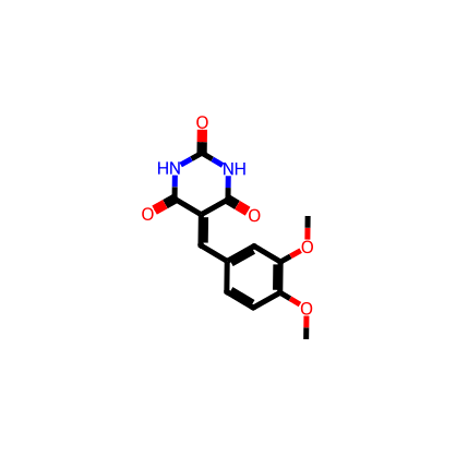 COc1ccc(C=C2C(=O)NC(=O)NC2=O)cc1OC